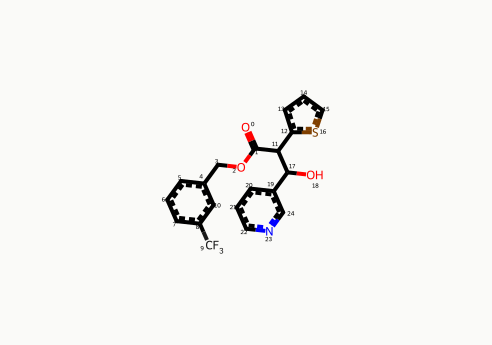 O=C(OCc1cccc(C(F)(F)F)c1)C(c1cccs1)C(O)c1cccnc1